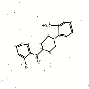 O=C(O)c1ccccc1N1CCN([S+]([O-])c2ccccc2Cl)CC1